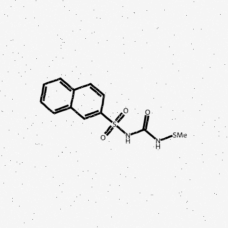 CSNC(=O)NS(=O)(=O)c1ccc2ccccc2c1